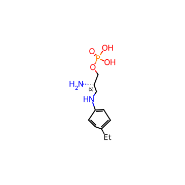 CCc1ccc(NC[C@H](N)COP(=O)(O)O)cc1